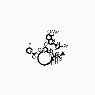 COc1ccc2c(O[C@@H]3C[C@H]4C(=O)NC5(C(=O)NS(=O)(=O)C6CC6)C[C@H]5/C=C\CCCCC[C@H](CC(=O)N5CCCC(F)C5)C(=O)N4C3)cc(-c3nc(C(C)C)cs3)nc2c1C